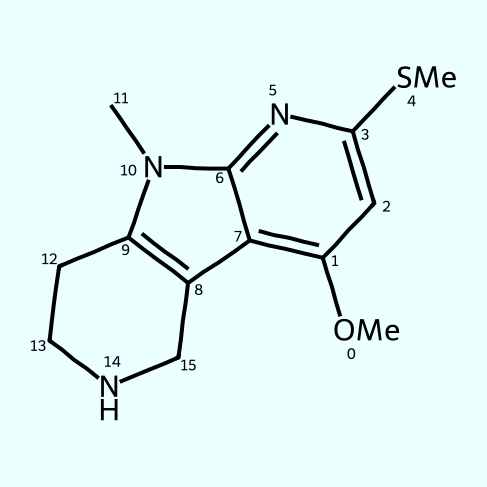 COc1cc(SC)nc2c1c1c(n2C)CCNC1